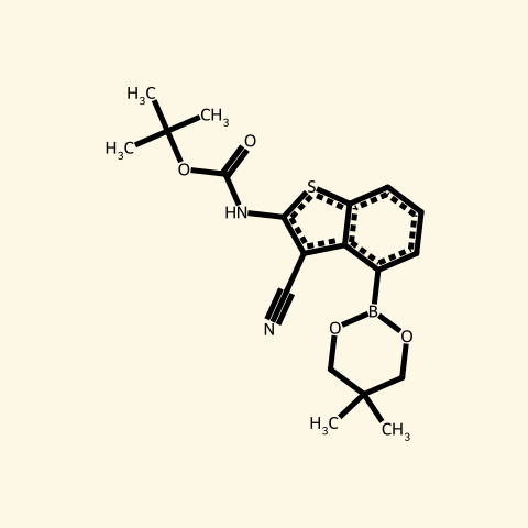 CC1(C)COB(c2cccc3sc(NC(=O)OC(C)(C)C)c(C#N)c23)OC1